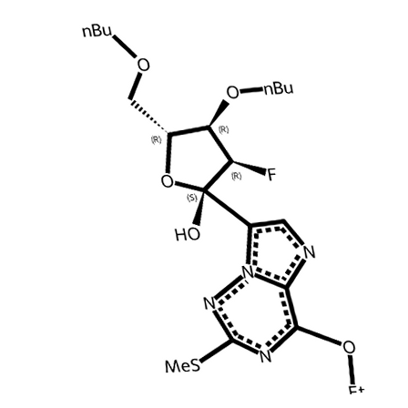 CCCCOC[C@H]1O[C@@](O)(c2cnc3c(OCC)nc(SC)nn23)[C@H](F)[C@@H]1OCCCC